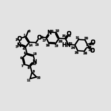 Cc1onc(-c2ccc(C3CC3)nc2)c1COc1ccc(C(=O)NC2CCS(=O)(=O)CC2)cn1